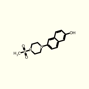 CS(=O)(=O)N1CCN(c2ccc3cc(O)ccc3c2)CC1